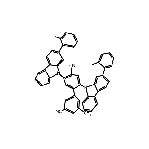 Cc1ccccc1-c1ccc2c3ccccc3n(-c3cc(-c4cc(C#N)cc(C(F)(F)F)c4)c(-n4c5ccccc5c5ccc(-c6ccccc6C)cc54)cc3C#N)c2c1